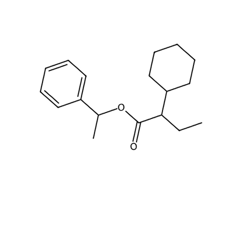 CCC(C(=O)OC(C)c1ccccc1)C1CCCCC1